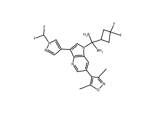 BC(B)(C1CC(F)(F)C1)n1cc(-c2cnn(C(F)F)c2)c2ncc(-c3c(C)noc3C)cc21